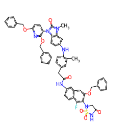 Cc1cc(CC(=O)Nc2ccc3c(F)c(N4CC(=O)NS4(=O)=O)c(OCc4ccccc4)cc3c2)ccc1Nc1ccc2c(c1)n(C)c(=O)n2-c1ccc(OCc2ccccc2)nc1OCc1ccccc1